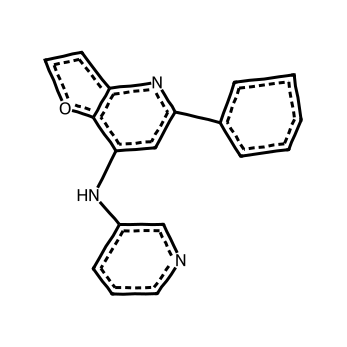 c1ccc(-c2cc(Nc3cccnc3)c3occc3n2)cc1